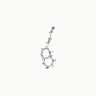 N#CC#Cc1ccc2cnccc2c1